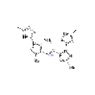 Cc1nsc(-n2nc(C(C)(C)C)nc2/N=N/c2c(C(C)(C)C)nn(-c3nc(C)ns3)c2N)n1